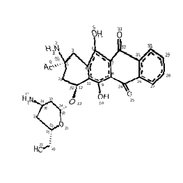 CC(=O)[C@]1(N)Cc2c(O)c3c(c(O)c2[C@@H](O[C@H]2C[C@H](N)C[C@@H](CO)O2)C1)C(=O)c1ccccc1C3=O